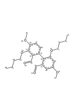 CCCCOc1cc(OC)cc(C=O)c1-c1ccc(OC)c(OCCCC)c1C=O